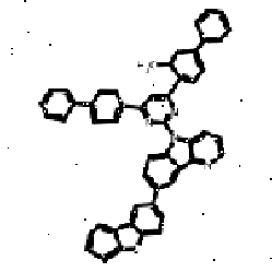 CC1CC(c2ccccc2)=CC=C1c1cc(-c2ccc(-c3ccccc3)cc2)nc(-n2c3ccc(-c4ccc5sc6ccccc6c5c4)cc3c3ncccc32)n1